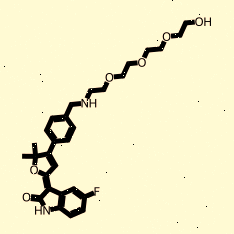 CC1(C)OC(=C2C(=O)Nc3ccc(F)cc32)C=C1c1ccc(CNCCOCCOCCOCCO)cc1